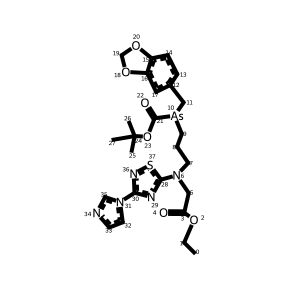 CCOC(=O)CN(CCC[As](Cc1ccc2c(c1)OCO2)C(=O)OC(C)(C)C)c1nc(-n2ccnc2)ns1